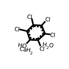 O.Oc1c(Cl)c(Cl)c(Cl)c(Cl)c1Cl.[CaH2]